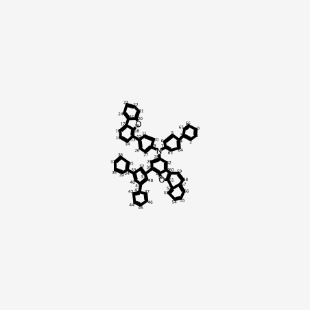 c1ccc(-c2ccc(N(c3ccc(-c4cccc5c4oc4ccccc45)cc3)c3cc(-c4cc(-c5ccccc5)cc(-c5ccccc5)c4)c4oc5c6ccccc6ccc5c4c3)cc2)cc1